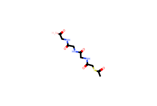 BC(=O)CNC(=O)CNC(=O)CNC(=O)CSC(C)=O